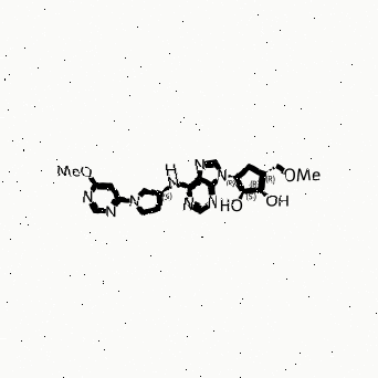 COC[C@H]1C[C@@H](n2cnc3c(N[C@H]4CCN(c5cc(OC)ncn5)C4)ncnc32)[C@H](O)[C@@H]1O